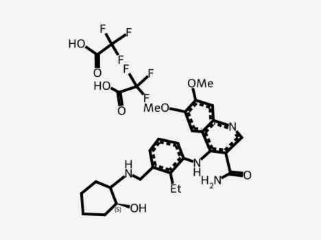 CCc1c(CNC2CCCC[C@@H]2O)cccc1Nc1c(C(N)=O)cnc2cc(OC)c(OC)cc12.O=C(O)C(F)(F)F.O=C(O)C(F)(F)F